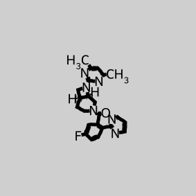 Cc1cc(C)nc(N2C[C@@H]3CCN(C(=O)c4cc(F)ccc4-c4ncccn4)C[C@@H]32)n1